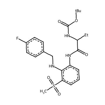 CCC(NC(=O)OC(C)(C)C)C(=O)Nc1cccc(S(C)(=O)=O)c1NCc1ccc(F)cc1